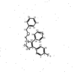 Fc1ccc(-c2nnn(COCc3ccccc3)c2-c2ccncc2)cc1